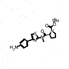 CN(C(=O)[C@@H]1CCCN1C(=O)OC(C)(C)C)c1nc(-c2ccc(N)cc2)cs1